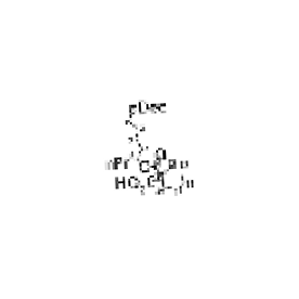 CCCCCCCCCCCCCCC(CCC)OC(=O)C1(C(=O)O)CCCCC1